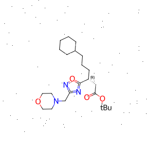 CC(C)(C)OC(=O)C[C@@H](CCCC1CCCCC1)c1nc(CN2CCOCC2)no1